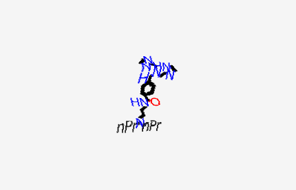 CCCN(CCC)CCCCNC(=O)c1ccc(CN(Cc2ncc[nH]2)Cc2ncc[nH]2)cc1